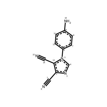 N#Cc1ncn(-c2ccc(N)cc2)c1C#N